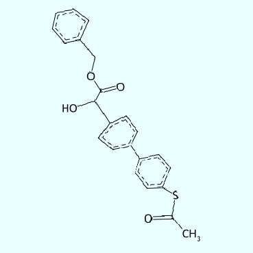 CC(=O)Sc1ccc(-c2ccc(C(O)C(=O)OCc3ccccc3)cc2)cc1